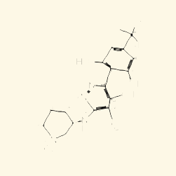 Cc1cc(C(F)(F)F)cc(O)c1-c1nnc(N[C@@H]2CCCN(C)C2)c(C)c1C